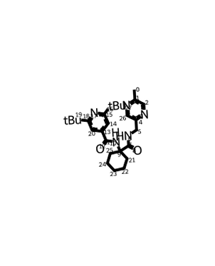 Cc1cnc(CNC(=O)C2(NC(=O)c3cc(C(C)(C)C)nc(C(C)(C)C)c3)CCCCC2)cn1